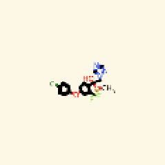 COC(O)(Cn1cncn1)c1ccc(Oc2ccc(Cl)cc2)cc1C(F)(F)F